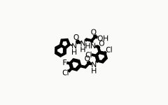 O=C(Cc1ccc(F)c(Cl)c1)Nc1ccc(Cl)c(C(=O)NC(CNC(=O)N[C@@H]2CCc3ccccc32)C(=O)O)c1Cl